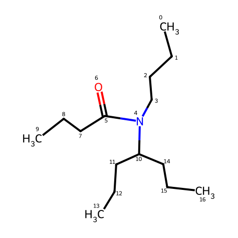 CCCCN(C(=O)CCC)C(CCC)CCC